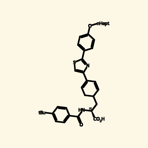 CCCCCCCOc1ccc(-c2nc(C3=CCC(C[C@H](NC(=O)c4ccc(C(C)(C)C)cc4)C(=O)O)C=C3)cs2)cc1